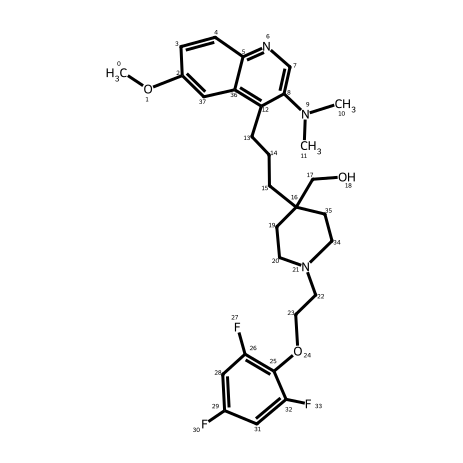 COc1ccc2ncc(N(C)C)c(CCCC3(CO)CCN(CCOc4c(F)cc(F)cc4F)CC3)c2c1